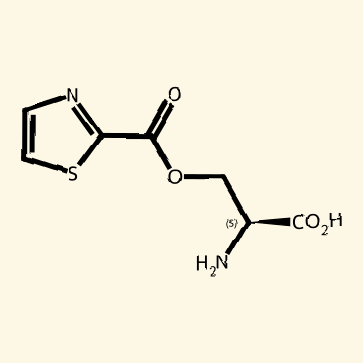 N[C@@H](COC(=O)c1nccs1)C(=O)O